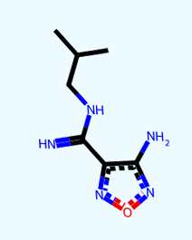 CC(C)CNC(=N)c1nonc1N